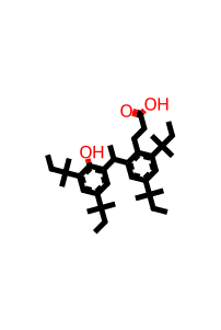 CCC(C)(C)c1cc(C(C)c2cc(C(C)(C)CC)cc(C(C)(C)CC)c2CCC(=O)O)c(O)c(C(C)(C)CC)c1